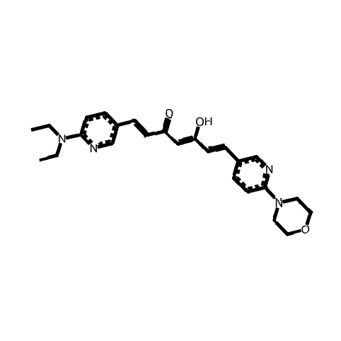 CCN(CC)c1ccc(/C=C/C(=O)/C=C(O)/C=C/c2ccc(N3CCOCC3)nc2)cn1